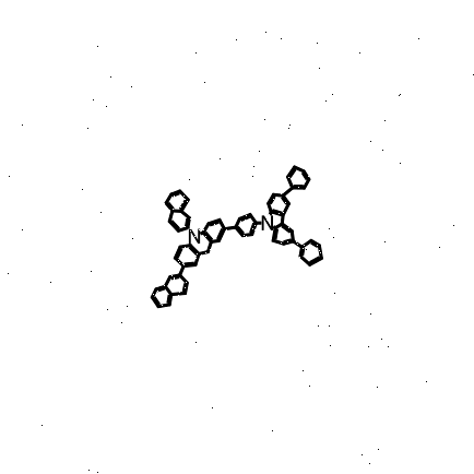 c1ccc(-c2ccc3c(c2)c2cc(-c4ccccc4)ccc2n3-c2ccc(-c3ccc4c(c3)Cc3cc(-c5ccc6ccccc6c5)ccc3N4c3ccc4ccccc4c3)cc2)cc1